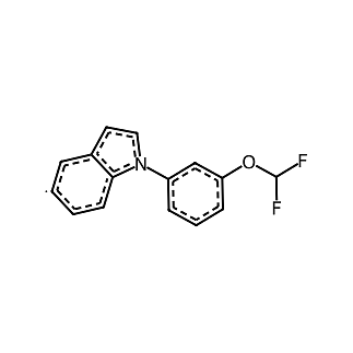 FC(F)Oc1cccc(-n2ccc3c[c]ccc32)c1